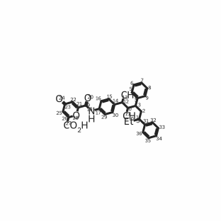 CCC(CC(c1ccccc1)C(C)C(C)c1ccc(NC(=O)c2cc(=O)cc(C(=O)O)o2)cc1)c1ccccc1